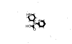 O=C(O)N(c1ccccn1)C1CCNCC1